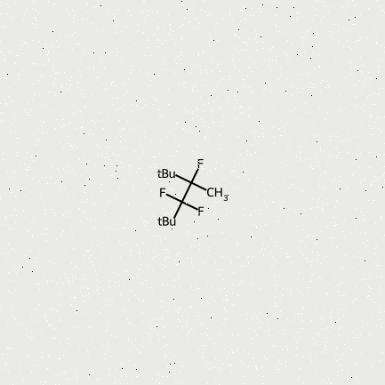 CC(C)(C)C(C)(F)C(F)(F)C(C)(C)C